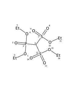 CCOP(=O)(OCC)C(S(=O)(=O)OCC)S(=O)(=O)OCC